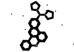 c1ccc2c(c1)Oc1cccc3c1c-2cc1ccc(B(N2CCCC2)N2CCCC2)cc13